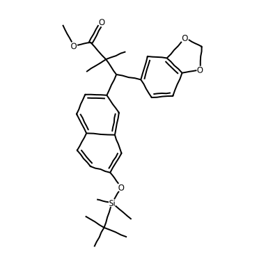 COC(=O)C(C)(C)C(c1ccc2c(c1)OCO2)c1ccc2ccc(O[Si](C)(C)C(C)(C)C)cc2c1